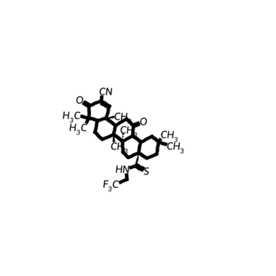 CC1(C)CC[C@]2(C(=S)NCC(F)(F)F)CC[C@]3(C)C(C(=O)CC4[C@@]5(C)C=C(C#N)C(=O)C(C)(C)C5CC[C@]43C)C2C1